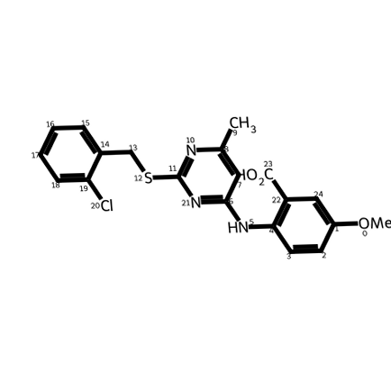 COc1ccc(Nc2cc(C)nc(SCc3ccccc3Cl)n2)c(C(=O)O)c1